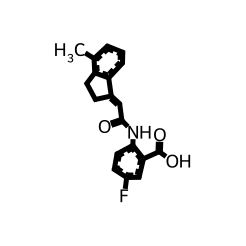 Cc1cccc2c1CC/C2=C\C(=O)Nc1ccc(F)cc1C(=O)O